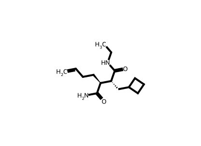 C=CCC[C@H](C(N)=O)[C@@H](CC1CCC1)C(=O)NCC